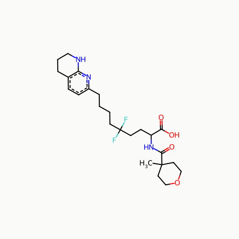 CC1(C(=O)NC(CCC(F)(F)CCCCc2ccc3c(n2)NCCC3)C(=O)O)CCOCC1